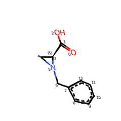 O=C(O)[C@@H]1CN1Cc1ccccc1